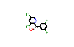 O=C[C@@H](c1cc(F)cc(F)c1)c1ncc(Cl)cc1Cl